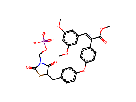 COC(=O)/C(=C/c1cc(OC)cc(OC)c1)c1ccc(Oc2ccc(CC3SC(=O)N(COP(=O)(O)O)C3=O)cc2)cc1